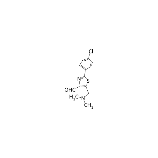 CN(C)Cc1sc(-c2ccc(Cl)cc2)nc1C=O